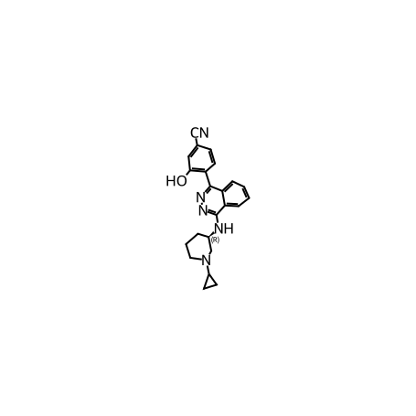 N#Cc1ccc(-c2nnc(N[C@@H]3CCCN(C4CC4)C3)c3ccccc23)c(O)c1